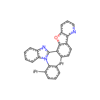 Cc1ccc2c(oc3cccnc32)c1-c1nc2ccccc2n1-c1c(C(C)C)cccc1C(C)C